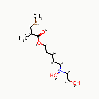 CSCC(C)C(=O)OCCCCCN(O)CCO